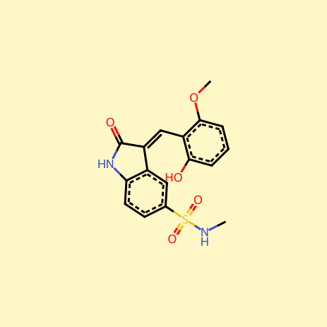 CNS(=O)(=O)c1ccc2c(c1)C(=Cc1c(O)cccc1OC)C(=O)N2